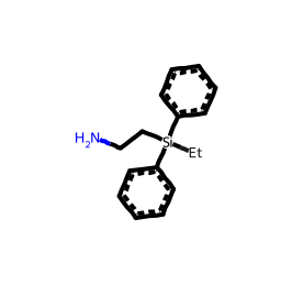 CC[Si](CCN)(c1ccccc1)c1ccccc1